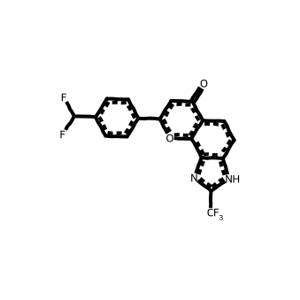 O=c1cc(-c2ccc(C(F)F)cc2)oc2c1ccc1[nH]c(C(F)(F)F)nc12